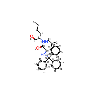 CCCC[C@@H](C=O)NC(=O)[C@H](CC(C)C)NC(c1ccccc1)(c1ccccc1)c1ccccc1